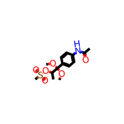 COC(OC)(c1ccc(NC(C)=O)cc1)C(C)OS(C)(=O)=O